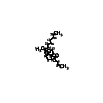 C=CCOC(=O)C12CCCC1(OC(C)CCCCCCC)OCC2